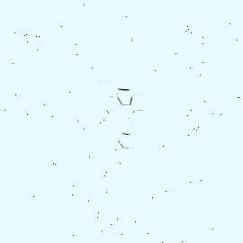 COc1cc2c(cc1C)C(CNC1=C(C=O)C=CN(C)C1)CCC2